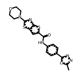 Cc1nnc(-c2ccc(NC(=O)c3cc4sc(N5CCOCC5)nc4s3)cc2)o1